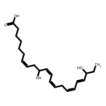 CCC(O)/C=C/C=C\C/C=C\C=C/C(O)C/C=C\CCCCCC(=O)O